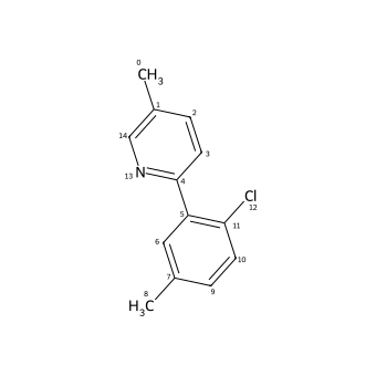 Cc1ccc(-c2cc(C)ccc2Cl)nc1